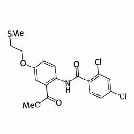 COC(=O)c1cc(OCCSC)ccc1NC(=O)c1ccc(Cl)cc1Cl